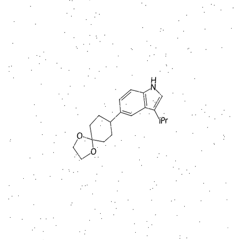 CC(C)c1c[nH]c2ccc(C3CCC4(CC3)OCCO4)cc12